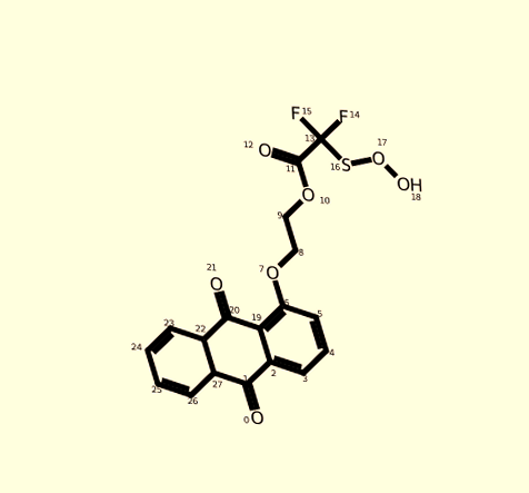 O=C1c2cccc(OCCOC(=O)C(F)(F)SOO)c2C(=O)C2C=CC=CC12